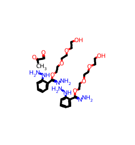 CC(=O)C=O.NN=C(OCCOCCOCCO)c1ccccc1NN.NN=C(OCCOCCOCCO)c1ccccc1NN